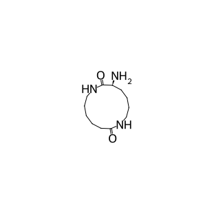 N[C@H]1CCCCNC(=O)CCCCCNC1=O